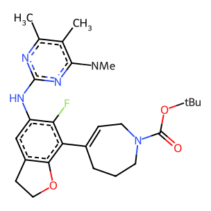 CNc1nc(Nc2cc3c(c(C4=CCN(C(=O)OC(C)(C)C)CCC4)c2F)OCC3)nc(C)c1C